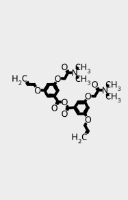 C=CCOc1cc(OCC(=O)N(C)C)cc(C(=O)OC(=O)c2cc(OCC=C)cc(OCC(=O)N(C)C)c2)c1